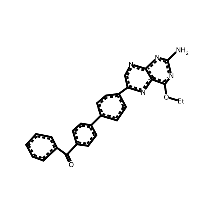 CCOc1nc(N)nc2ncc(-c3ccc(-c4ccc(C(=O)c5ccccc5)cc4)cc3)nc12